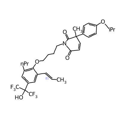 C/C=C/c1cc(C(O)(C(F)(F)F)C(F)(F)F)cc(CCC)c1OCCCCN1C(=O)C=CC(C)(c2ccc(OC(C)C)cc2)C1=O